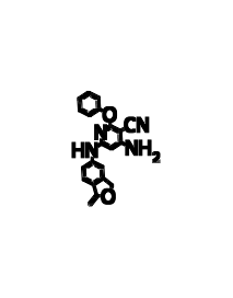 C=C1OCc2cc(Nc3cc(N)c(C#N)c(Oc4ccccc4)n3)ccc21